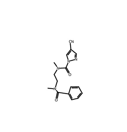 CN(CCN(C)C(=O)n1cc(C#N)cn1)C(=O)c1ccccc1